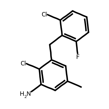 Cc1cc(N)c(Cl)c(Cc2c(F)cccc2Cl)c1